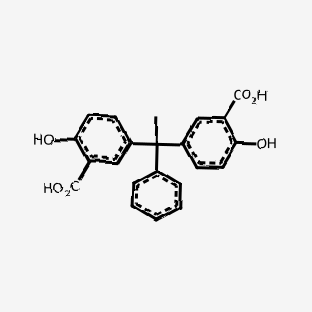 CC(c1ccccc1)(c1ccc(O)c(C(=O)O)c1)c1ccc(O)c(C(=O)O)c1